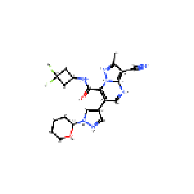 Cc1nn2c(C(=O)NC3CC(F)(F)C3)c(-c3cnn(C4CCCCO4)c3)cnc2c1C#N